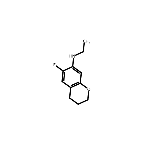 CCNc1cc2c(cc1F)CCCO2